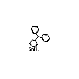 [SnH4].c1ccc(C(c2ccccc2)c2ccccc2)cc1